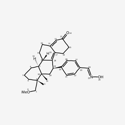 COC[C@]1(C)CCC[C@H]2[C@@H]3CCC4=CC(=O)CCC4=C3[C@@H](c3ccc(/C=N/O)cc3)C[C@@]21C